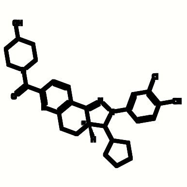 N#Cc1ccc(N2N=C3c4ccc(C(=O)N5CCC(O)CC5)nc4CC[C@@H]3C2C2CCCC2)cc1Cl